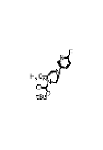 C[C@H]1CN(c2ccc(F)nc2)CCN1C(=O)OC(C)(C)C